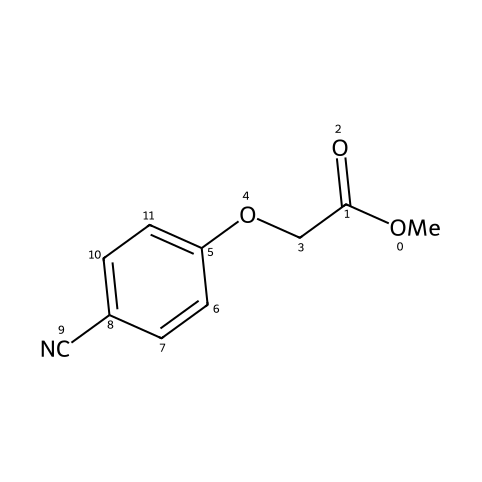 COC(=O)COc1ccc(C#N)cc1